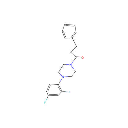 O=C(CCc1ccccc1)N1CCN(c2ccc(F)cc2F)CC1